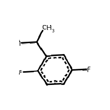 CC(I)c1cc(F)ccc1F